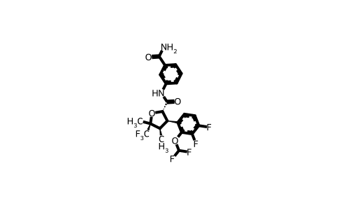 C[C@@H]1[C@H](c2ccc(F)c(F)c2OC(F)F)[C@@H](C(=O)Nc2cccc(C(N)=O)c2)O[C@]1(C)C(F)(F)F